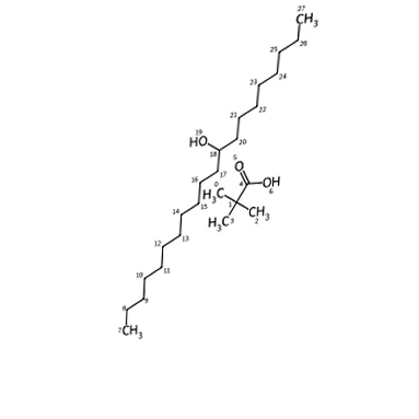 CC(C)(C)C(=O)O.CCCCCCCCCCCC(O)CCCCCCCC